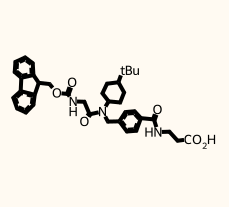 CC(C)(C)C1CCC(N(Cc2ccc(C(=O)NCCC(=O)O)cc2)C(=O)CNC(=O)OCC2c3ccccc3-c3ccccc32)CC1